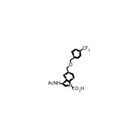 CC(=O)Nc1cn(C(=O)O)c2ccc(COCc3ccc(C(F)(F)F)cc3)cc12